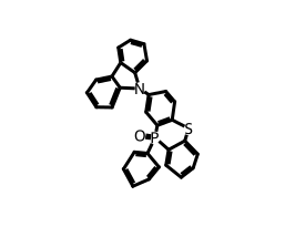 O=P1(c2ccccc2)c2ccccc2Sc2ccc(-n3c4ccccc4c4ccccc43)cc21